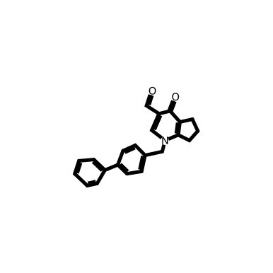 O=Cc1cn(Cc2ccc(-c3ccccc3)cc2)c2c(c1=O)CCC2